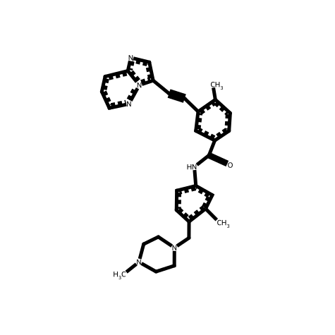 Cc1ccc(C(=O)Nc2ccc(CN3CCN(C)CC3)c(C)c2)cc1C#Cc1cnc2cccnn12